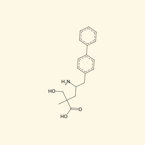 CC(CO)(CC(N)Cc1ccc(-c2ccccc2)cc1)C(=O)O